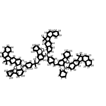 Cc1ccccc1N(c1ccc2cc3c(cc2c1)C(C)(C)c1ccc2ccccc2c1-3)c1cc(Cc2ccc(N(c3ccc4cc5c(cc4c3)C(C)(C)c3ccc4ccccc4c3-5)c3cc(CC(C)(C)c4ccc(N(c5ccc6cc7c(cc6c5)C(C)(C)c5ccc6ccccc6c5-7)c5cccc6c5oc5ccccc56)cc4)cc4c3oc3ccccc34)cc2)cc2c1oc1ccccc12